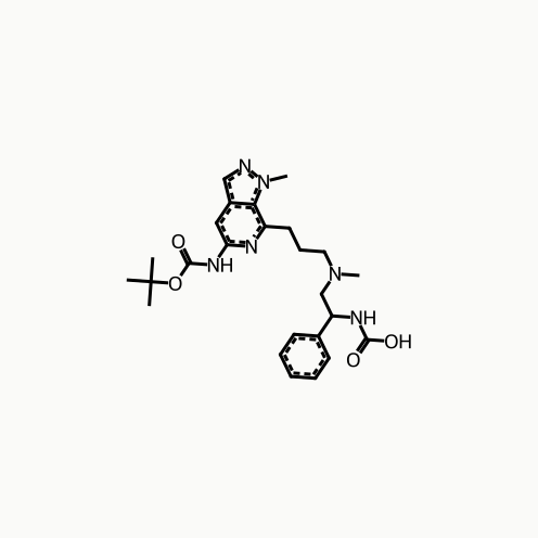 CN(CCCc1nc(NC(=O)OC(C)(C)C)cc2cnn(C)c12)CC(NC(=O)O)c1ccccc1